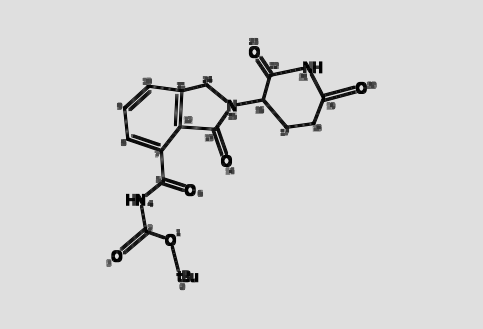 CC(C)(C)OC(=O)NC(=O)c1cccc2c1C(=O)N(C1CCC(=O)NC1=O)C2